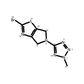 Cn1nnc(N2Cc3nc(Br)sc3C2)n1